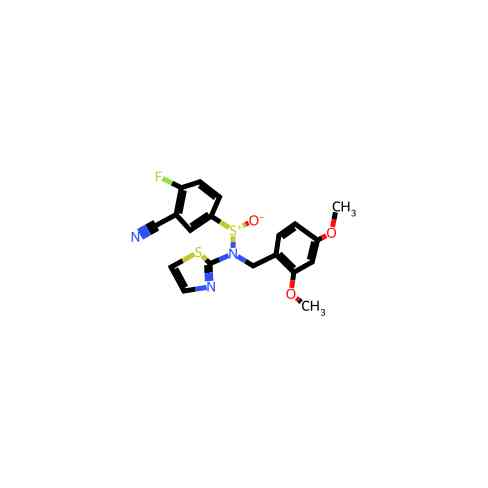 COc1ccc(CN(c2nccs2)[S+]([O-])c2ccc(F)c(C#N)c2)c(OC)c1